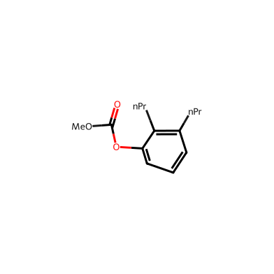 CCCc1cccc(OC(=O)OC)c1CCC